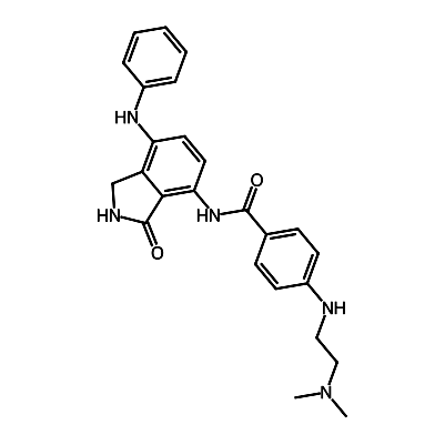 CN(C)CCNc1ccc(C(=O)Nc2ccc(Nc3ccccc3)c3c2C(=O)NC3)cc1